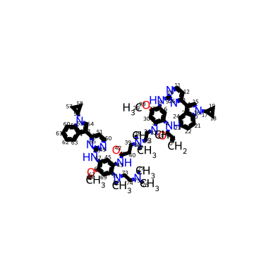 C=CC(=O)Nc1cc(Nc2nccc(-c3cn(C4CC4)c4ccccc34)n2)c(OC)cc1N(C)CC[N+](C)(C)CCC(=O)Nc1cc(Nc2nccc(-c3cn(C4CC4)c4ccccc34)n2)c(OC)cc1N(C)CCN(C)C